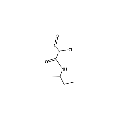 CCC(C)NC(=O)N(Cl)N=O